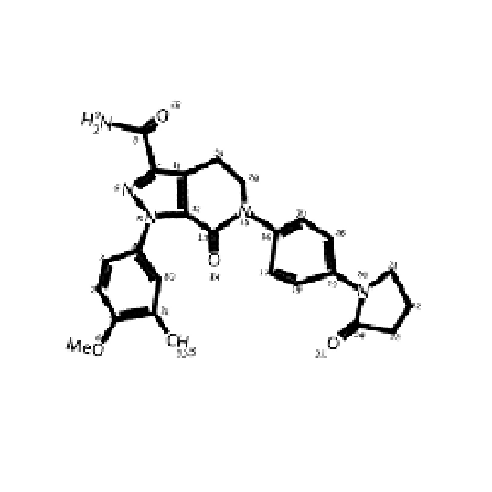 COc1ccc(-n2nc(C(N)=O)c3c2C(=O)N(c2ccc(N4CCCC4=O)cc2)CC3)cc1C